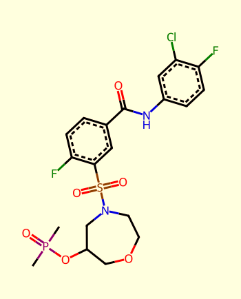 CP(C)(=O)OC1COCCN(S(=O)(=O)c2cc(C(=O)Nc3ccc(F)c(Cl)c3)ccc2F)C1